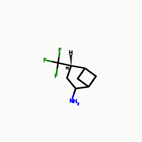 NC1C[C@@H](C(F)(F)F)C2CC1C2